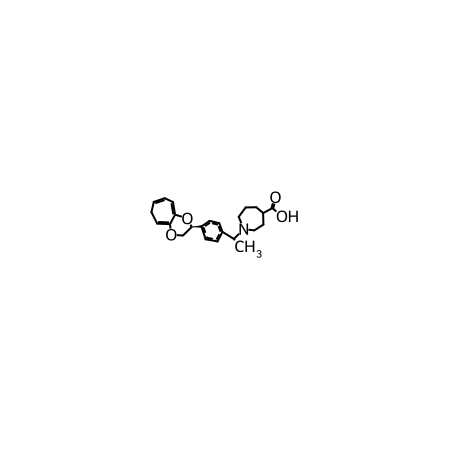 CC(c1ccc([C@H]2COC3=CCC=CC=C3O2)cc1)N1CCCC(C(=O)O)CC1